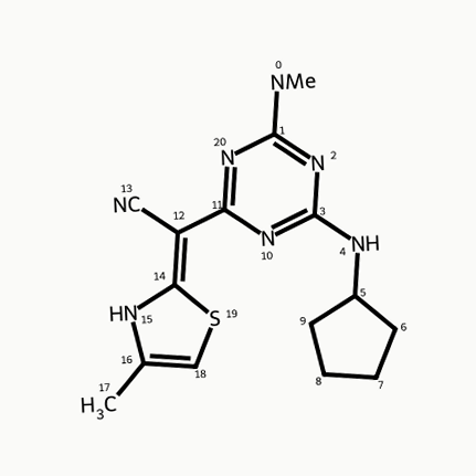 CNc1nc(NC2CCCC2)nc(/C(C#N)=C2/NC(C)=CS2)n1